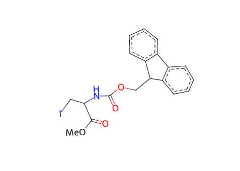 COC(=O)C(CI)NC(=O)OCC1c2ccccc2-c2ccccc21